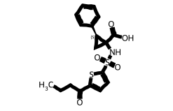 CCCC(=O)c1ccc(S(=O)(=O)NC2(C(=O)O)C[C@H]2c2ccccc2)s1